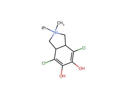 CC(C)[N+]1(C)CC2C(Cl)=C(O)C(O)=C(Cl)C2C1